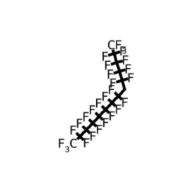 FC(F)(F)C(F)(F)C(F)(F)C(F)(F)C(F)(F)CC(F)(F)C(F)(F)C(F)(F)C(F)(F)C(F)(F)C(F)(F)C(F)(F)C(F)(F)F